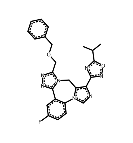 CC(C)c1nc(-c2ncn3c2Cn2c(COCc4ccccc4)nnc2-c2cc(F)ccc2-3)no1